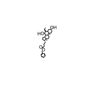 C/C=C1/C(O)C2C(CC[C@@]3(C)C2CC[C@@H]3CCCC(=O)OCc2ccccc2)[C@@]2(C)CC[C@@H](O)CC12